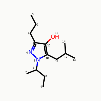 CCCc1nn(C(C)CC)c(CC(C)C)c1O